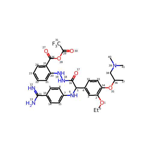 CCOc1cc(C(Nc2ccc(C(=N)N)cc2)C(=O)NNc2ccccc2C(=O)OC(=O)C(F)(F)F)ccc1OC(C)CN(C)C